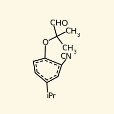 CC(C)c1ccc(OC(C)(C)C=O)c(C#N)c1